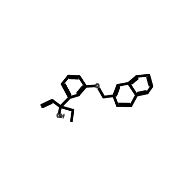 C=CC(O)(CC)c1cccc(OCc2ccc3ccccc3c2)c1